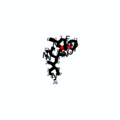 C#Cc1cc(F)c(C(=O)N2C3CC2CN(c2ccc(-c4cc(C5=CCN(C)C=C5)cn5ncc(C#N)c45)cn2)C3)c(F)c1